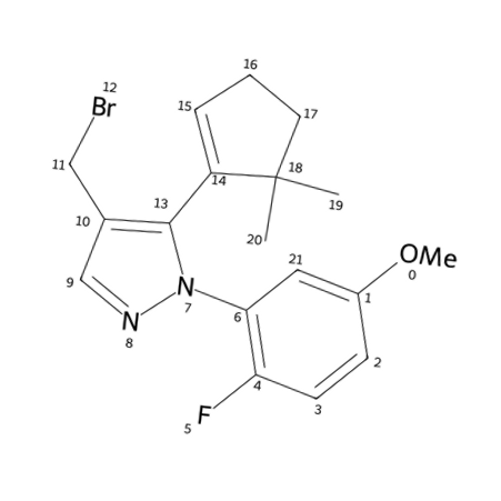 COc1ccc(F)c(-n2ncc(CBr)c2C2=CCCC2(C)C)c1